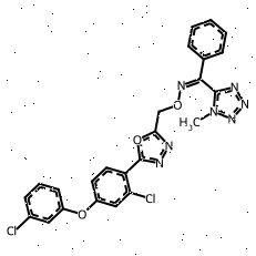 Cn1nnnc1/C(=N\OCc1nnc(-c2ccc(Oc3cccc(Cl)c3)cc2Cl)o1)c1ccccc1